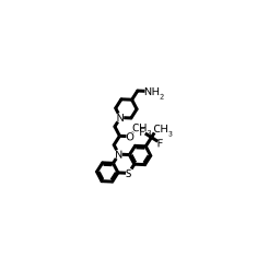 COC(CN1CCC(CN)CC1)CN1c2ccccc2Sc2ccc(C(C)(F)F)cc21